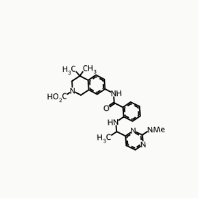 CNc1nccc(C(C)Nc2ccccc2C(=O)Nc2ccc3c(c2)CN(C(=O)O)CC3(C)C)n1